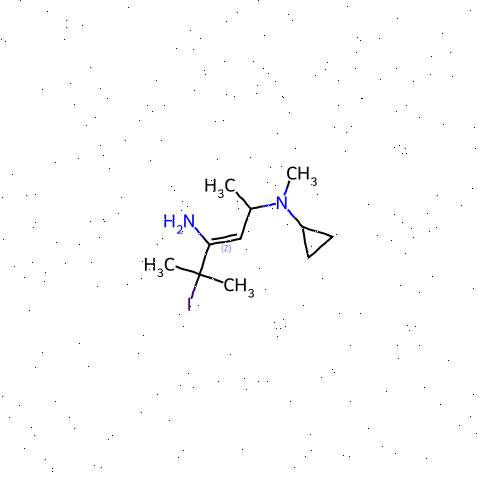 CC(/C=C(\N)C(C)(C)I)N(C)C1CC1